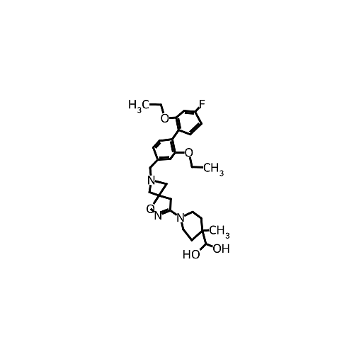 CCOc1cc(F)ccc1-c1ccc(CN2CC3(CC(N4CCC(C)(C(O)O)CC4)=NO3)C2)cc1OCC